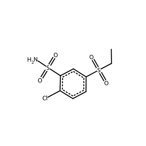 CCS(=O)(=O)c1ccc(Cl)c(S(N)(=O)=O)c1